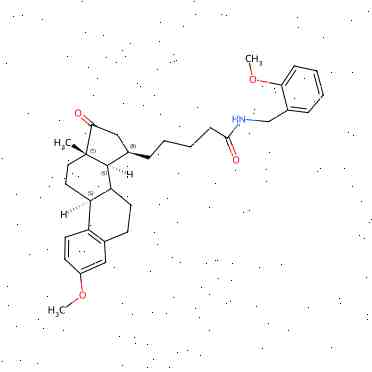 COc1ccc2c(c1)CCC1[C@@H]2CC[C@]2(C)C(=O)C[C@@H](CCCCC(=O)NCc3ccccc3OC)[C@@H]12